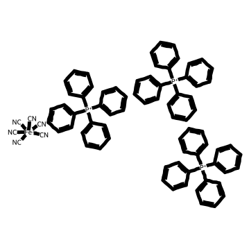 N#[C][Fe-3]([C]#N)([C]#N)([C]#N)([C]#N)[C]#N.c1ccc([P+](c2ccccc2)(c2ccccc2)c2ccccc2)cc1.c1ccc([P+](c2ccccc2)(c2ccccc2)c2ccccc2)cc1.c1ccc([P+](c2ccccc2)(c2ccccc2)c2ccccc2)cc1